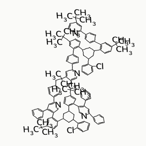 CC(C)(C)c1ccnc(-c2ccc(-c3cc(C(C)(C)C)ccc3C3CC(c4ccccc4Cl)CC(c4ccc(C(C)(C)C)cc4-c4ccc(-c5cc(C(C)(C)Cc6ccc(-c7cc(-c8ccccc8)c(-c8cc(C(C)(C)C)ccc8C8CC(c9ccccc9Cl)CC(c9ccc(C(C)(C)C)cc9-c9cnc(-c%10ccccc%10)cc9-c9ccccc9)C8)cn7)cc6)ccn5)cc4)C3)cc2)c1